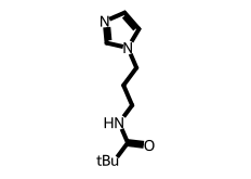 CC(C)(C)C(=O)NCCCn1ccnc1